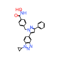 O=C(NO)c1ccc(Cn2nc(-c3ccccc3)cc2-c2ccc3c(c2)nnn3C2CC2)cc1